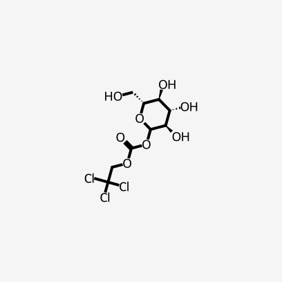 O=C(OCC(Cl)(Cl)Cl)OC1O[C@H](CO)[C@@H](O)[C@H](O)[C@H]1O